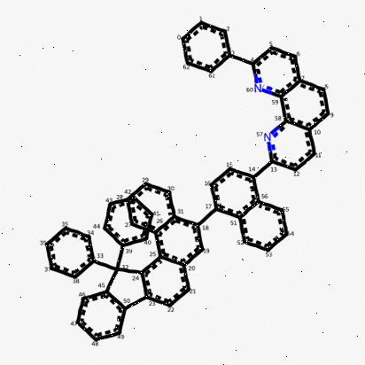 c1ccc(-c2ccc3ccc4ccc(-c5ccc(-c6cc7ccc8c(c7c7ccccc67)C(c6ccccc6)(c6ccccc6)c6ccccc6-8)c6ccccc56)nc4c3n2)cc1